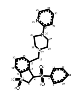 O=S1(=O)CC(S(=O)(=O)c2ccccc2)c2c(CN3CCN(c4ccccn4)CC3)cccc21